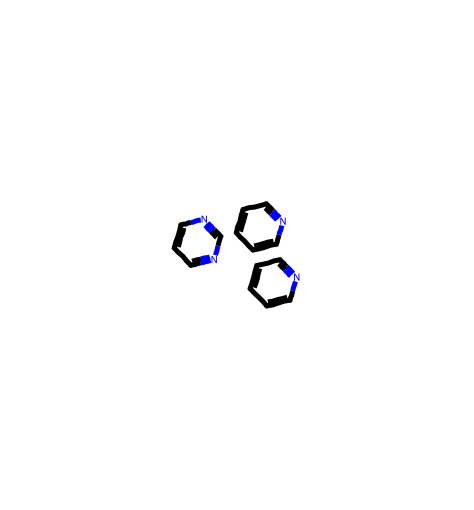 c1ccncc1.c1ccncc1.c1cncnc1